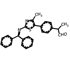 Cc1nc(N=C(c2ccccc2)c2ccccc2)sc1-c1ccc(C(C)C=O)cc1